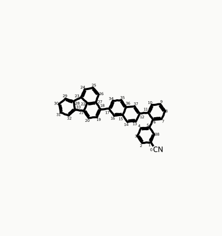 N#Cc1cccc(-c2ccccc2-c2ccc3cc(-c4ccc5c6c(cccc46)-c4ccccc4-5)ccc3c2)c1